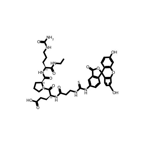 CCNC(=O)[C@H](CCCNC(N)=O)NC(=O)[C@@H]1CCCN1C(=O)[C@H](CCC(=O)O)NC(=O)CCNC(=S)Nc1ccc2c(c1)C(=O)OC21c2ccc(O)cc2Oc2cc(O)ccc21